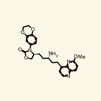 COc1ccc2nccc(CC[C@@H](N)CC[C@H]3COC(=O)N3c3ccc4c(c3)OCCO4)c2n1